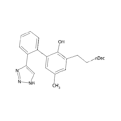 CCCCCCCCCCCCc1cc(C)cc(-c2ccccc2-c2c[nH]nn2)c1O